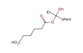 CCCCCC(O)(CC)OC(=O)CCCCC(=O)O